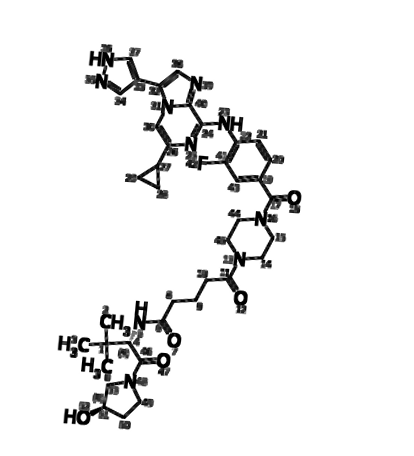 CC(C)(C)[C@H](NC(=O)CCCC(=O)N1CCN(C(=O)c2ccc(Nc3nc(C4CC4)cn4c(-c5cn[nH]c5)cnc34)c(F)c2)CC1)C(=O)N1CC[C@@H](O)C1